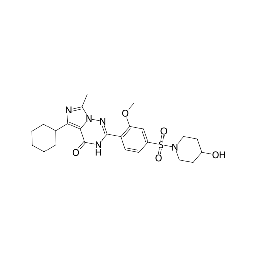 COc1cc(S(=O)(=O)N2CCC(O)CC2)ccc1-c1nn2c(C)nc(C3CCCCC3)c2c(=O)[nH]1